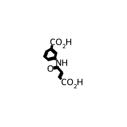 O=C(O)C=CC(=O)Nc1cccc(C(=O)O)c1